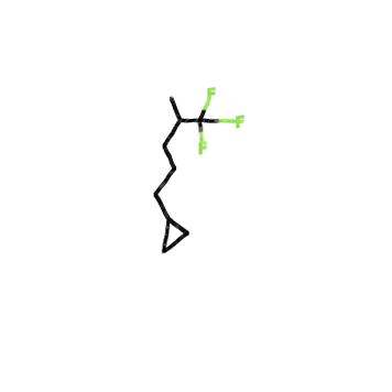 CC(CCCC1CC1)C(F)(F)F